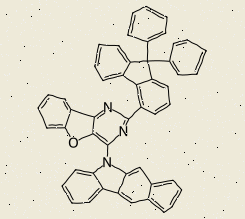 c1ccc(C2(c3ccccc3)c3ccccc3-c3c(-c4nc(-n5c6ccccc6c6cc7ccccc7cc65)c5oc6ccccc6c5n4)cccc32)cc1